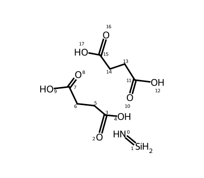 N=[SiH2].O=C(O)CCC(=O)O.O=C(O)CCC(=O)O